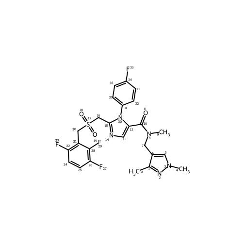 Cc1nn(C)cc1CN(C)C(=O)c1cnc(CS(=O)(=O)Cc2c(F)ccc(F)c2F)n1-c1ccc(F)cc1